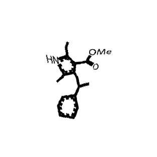 COC(=O)c1c(C)[nH]c(C)c1C(C)c1ccccc1